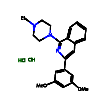 CCN1CCN(c2nc(-c3cc(OC)cc(OC)c3)cc3ccccc23)CC1.Cl.Cl